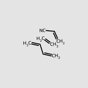 C=C.C=CC#N.C=CC=C